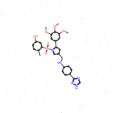 COc1cc(-c2cc(CNc3ccc(-c4nc[nH]n4)cc3)cn2S(=O)(=O)c2cc(O)ccc2C)cc(OC)c1OC